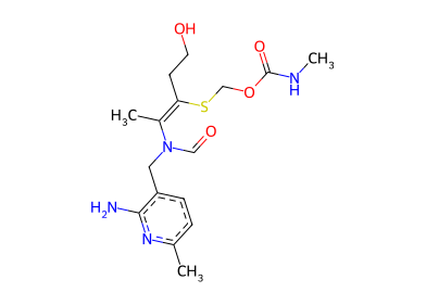 CNC(=O)OCS/C(CCO)=C(/C)N(C=O)Cc1ccc(C)nc1N